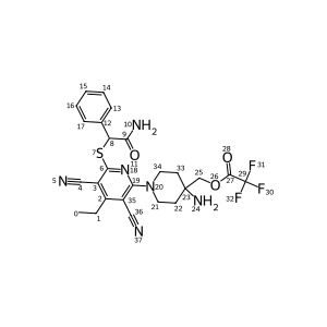 CCc1c(C#N)c(SC(C(N)=O)c2ccccc2)nc(N2CCC(N)(COC(=O)C(F)(F)F)CC2)c1C#N